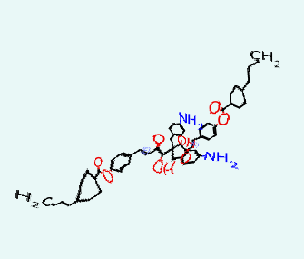 C=CCCC1CCC(C(=O)Oc2ccc(/C=C/C(=O)C(O)C(Cc3ccc(N)cc3)(Cc3ccc(N)cc3)C(O)C(=O)/C=C/c3ccc(OC(=O)C4CCC(CCC=C)CC4)cc3)cc2)CC1